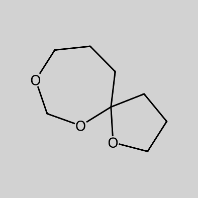 C1COCOC2(C1)CCCO2